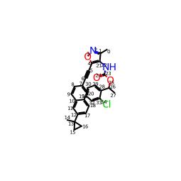 Cc1noc(C#Cc2ccc3cc(C4(C)CC4)ccc3c2)c1NC(=O)OC(C)c1ccccc1Cl